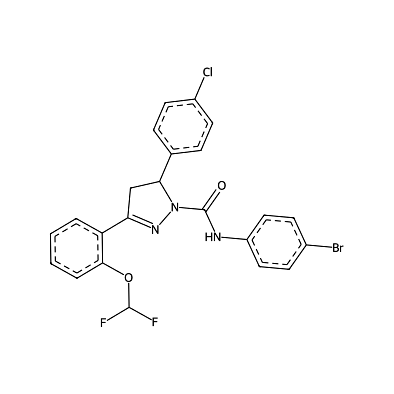 O=C(Nc1ccc(Br)cc1)N1N=C(c2ccccc2OC(F)F)CC1c1ccc(Cl)cc1